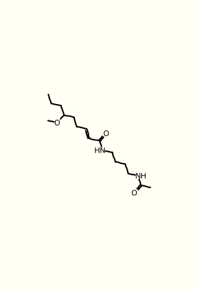 CCCC(CC/C=C/C(=O)NCCCCNC(C)=O)OC